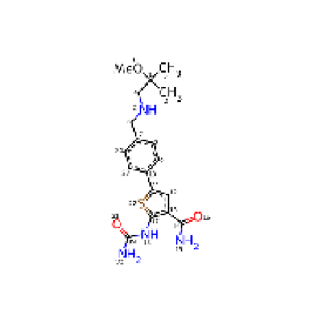 COC(C)(C)CNCc1ccc(-c2cc(C(N)=O)c(NC(N)=O)s2)cc1